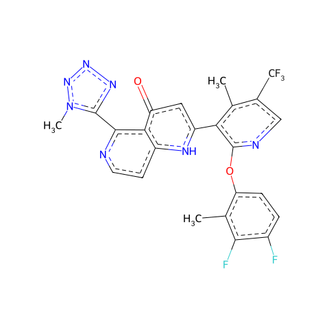 Cc1c(Oc2ncc(C(F)(F)F)c(C)c2-c2cc(=O)c3c(-c4nnnn4C)nccc3[nH]2)ccc(F)c1F